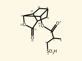 CC(CS(=O)(=O)O)C(=O)OC1C2CC3C(=O)OC1C3C2